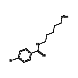 CCCCCCCCCCCCCCNC(=N)c1ccc(Br)cc1